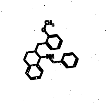 COc1ccccc1CC1CCc2ccccc2C1NCc1ccccc1